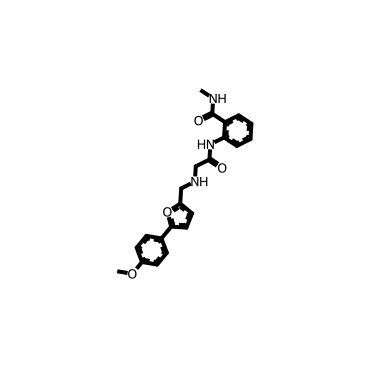 CNC(=O)c1ccccc1NC(=O)CNCc1ccc(-c2ccc(OC)cc2)o1